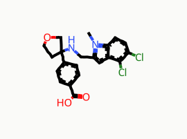 Cn1c(CNC2(c3ccc(C(=O)O)cc3)CCOC2)cc2c(Cl)c(Cl)ccc21